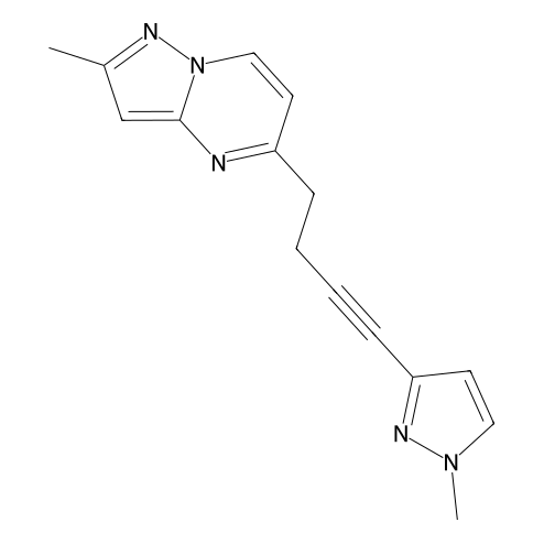 Cc1cc2nc(CCC#Cc3ccn(C)n3)ccn2n1